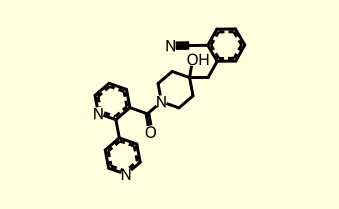 N#Cc1ccccc1CC1(O)CCN(C(=O)c2cccnc2-c2ccncc2)CC1